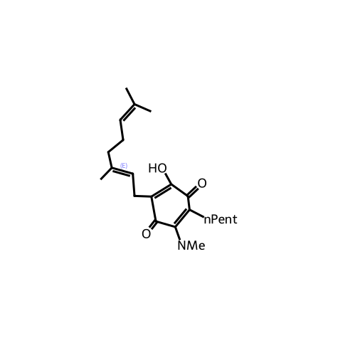 CCCCCC1=C(NC)C(=O)C(C/C=C(\C)CCC=C(C)C)=C(O)C1=O